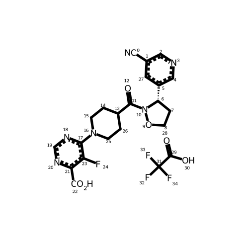 N#Cc1cncc([C@@H]2CCON2C(=O)C2CCN(c3ncnc(C(=O)O)c3F)CC2)c1.O=C(O)C(F)(F)F